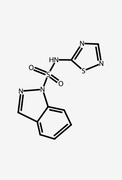 O=S(=O)(Nc1ncns1)n1ncc2ccccc21